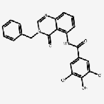 O=C(Nc1cccc2ncn(Cc3ccccc3)c(=O)c12)c1cc(Cl)c(O)c(Cl)c1